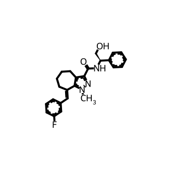 Cn1nc(C(=O)N[C@@H](CO)c2ccccc2)c2c1/C(=C/c1cccc(F)c1)CCCC2